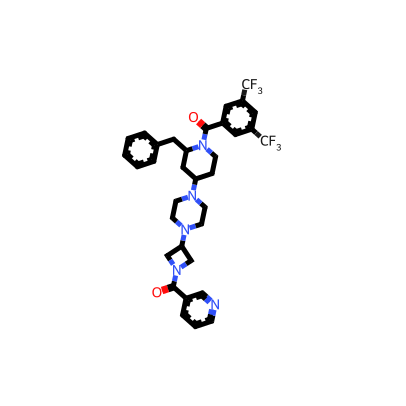 O=C(c1cccnc1)N1CC(N2CCN(C3CCN(C(=O)c4cc(C(F)(F)F)cc(C(F)(F)F)c4)C(Cc4ccccc4)C3)CC2)C1